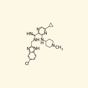 CN1CCC(Nc2nc(C3CC3)cnc2C(=N)NCc2nc3cc(Cl)ccc3[nH]2)CC1